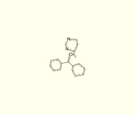 C=C(c1ccccc1)c1ccccc1.c1cncnc1